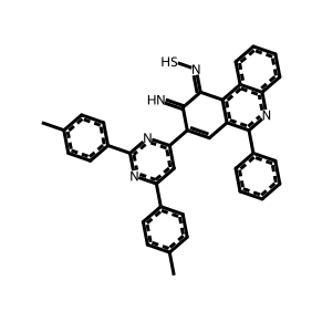 Cc1ccc(-c2cc(C3=Cc4c(-c5ccccc5)nc5ccccc5c4/C(=N/S)C3=N)nc(-c3ccc(C)cc3)n2)cc1